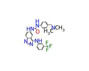 CN(C)Cc1ccc(NC(=O)Nc2ccc3ncnc(Nc4cccc(C(F)(F)F)c4)c3c2)cc1